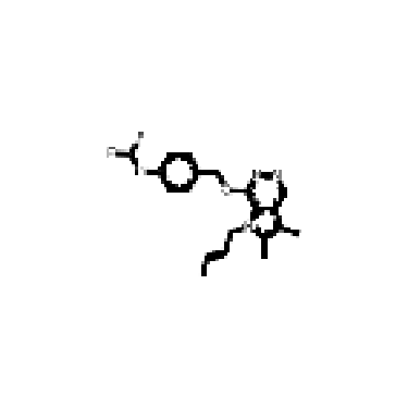 CC=CCn1c(C)c(C)c2cnnc(OCc3ccc(OC(F)F)cc3)c21